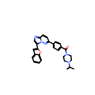 CC(C)N1CCN(C(=O)c2ccc(-c3ccc4ncc(-c5cc6ccccc6o5)n4n3)cc2)CC1